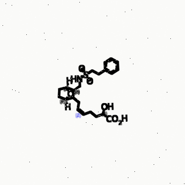 O=C(O)[C@H](O)CC/C=C\CC1[C@H]2CC[C@H](O2)[C@H]1CNS(=O)(=O)CCc1ccccc1